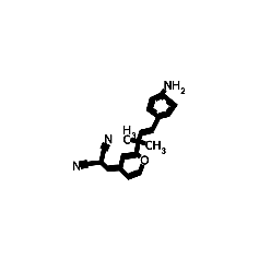 CC(C)(C=Cc1ccc(N)cc1)C1=CC(=CC(C#N)C#N)C=CO1